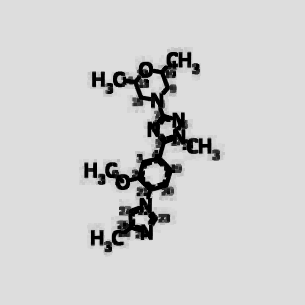 COc1cc(-c2nc(N3CC(C)OC(C)C3)nn2C)ccc1-n1cnc(C)c1